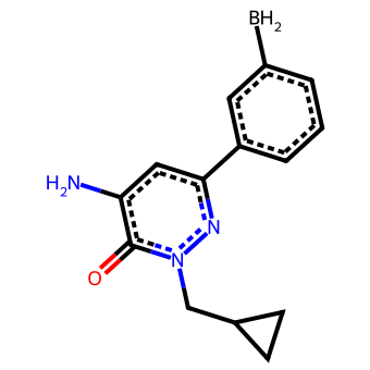 Bc1cccc(-c2cc(N)c(=O)n(CC3CC3)n2)c1